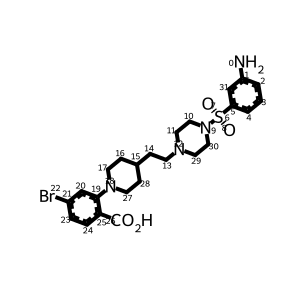 Nc1cccc(S(=O)(=O)N2CCN(CCC3CCN(c4cc(Br)ccc4C(=O)O)CC3)CC2)c1